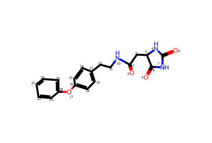 O=C(CC1NC(=O)NC1=O)NCCc1ccc(Oc2ccccc2)cc1